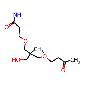 CC(=O)CCOCC(C)(CO)COCCC(N)=O